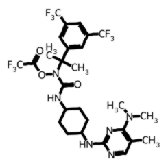 Cc1cnc(NC2CCC(NC(=O)N(OC(=O)C(F)(F)F)C(C)(C)c3cc(C(F)(F)F)cc(C(F)(F)F)c3)CC2)nc1N(C)C